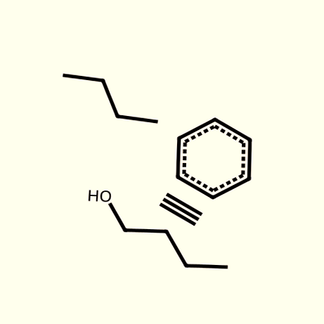 C#C.CCCC.CCCCO.c1ccccc1